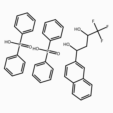 O=P(O)(c1ccccc1)c1ccccc1.O=P(O)(c1ccccc1)c1ccccc1.OC(CC(O)C(F)(F)F)c1ccc2ccccc2c1